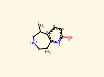 Br.CC1CNCCc2nc(O)ccc21